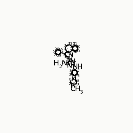 CN1CCN(c2ccc(Nc3nc(N)n(-c4cc(-c5ccccc5)c5c(n4)-c4ccccc4CCC5)n3)cc2)CC1